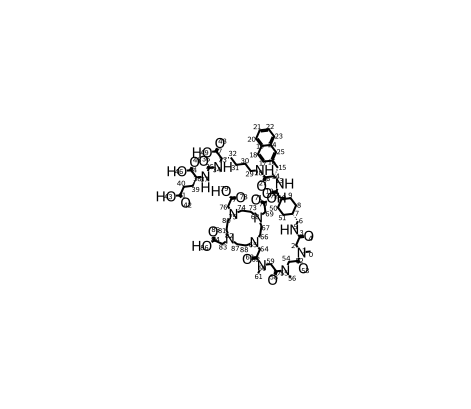 CN(CC(=O)NC[C@H]1CC[C@H](C(=O)N[C@@H](Cc2ccc3ccccc3c2)C(=O)NCCCC[C@H](NC(=O)N[C@@H](CCC(=O)O)C(=O)O)C(=O)O)CC1)C(=O)CN(C)C(=O)CN(C)C(=O)CN1CCN(CC(=O)O)CCN(CC(=O)O)CCN(CC(=O)O)CC1